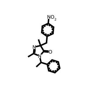 CC1=NC(C)(Cc2ccc([N+](=O)[O-])cc2)C(=O)N1C(C)c1ccccc1